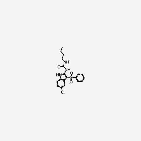 CCCCNC(=O)Nc1[nH]c2ccc(Cl)cc2c1S(=O)(=O)c1ccccc1